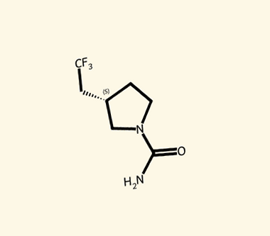 NC(=O)N1CC[C@@H](CC(F)(F)F)C1